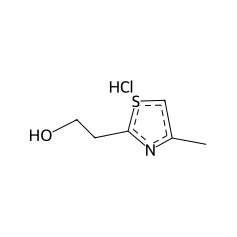 Cc1csc(CCO)n1.Cl